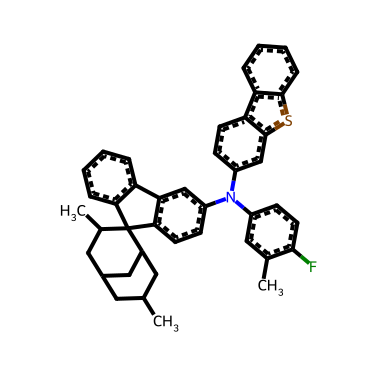 Cc1cc(N(c2ccc3c(c2)-c2ccccc2C32C(C)CC3CC(C)CC2C3)c2ccc3c(c2)sc2ccccc23)ccc1F